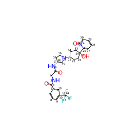 O=C(CNC(=O)c1cccc(C(F)(F)F)c1)N[C@@H]1CCN(C2CCC(O)(c3cccc[n+]3[O-])CC2)C1